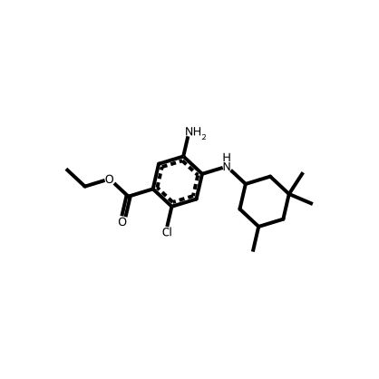 CCOC(=O)c1cc(N)c(NC2CC(C)CC(C)(C)C2)cc1Cl